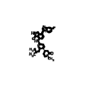 CN(C)CC1=NC(Nc2ccc(-c3cnc4cc(F)ccn34)c3c2C(=O)NC3)=CCC1[C@H]1CCN(C)C(=O)C1